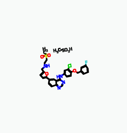 CS(=O)(=O)CCNCc1ccc(-c2ccc3ncnc(Nc4ccc(OCc5cccc(F)c5)c(Cl)c4)c3c2)o1.CS(=O)(=O)O